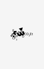 CCOC(=O)c1cn(C2CC2)c2nc(N3C[C@@H](CN(C)C(=O)C(F)(F)F)[C@@H](F)C3)c(F)cc2c1=O